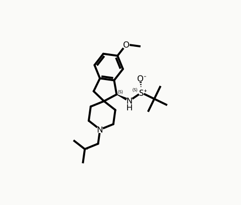 COc1ccc2c(c1)[C@@H](N[S@+]([O-])C(C)(C)C)C1(CCN(C[C](C)C)CC1)C2